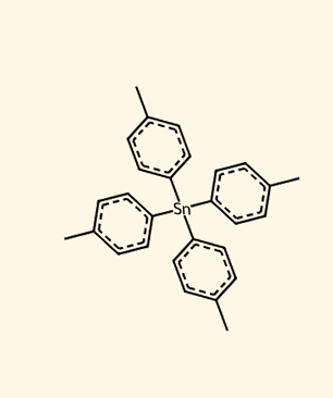 Cc1cc[c]([Sn]([c]2ccc(C)cc2)([c]2ccc(C)cc2)[c]2ccc(C)cc2)cc1